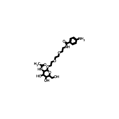 CC(=O)NC1C(OCCOCCOCCNC(=O)c2ccc(N)cc2)OC(CO)C(O)C1O